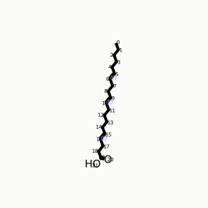 CCCCC/C=C/CC/C=C/CCCC/C=C/CCC(=O)O